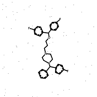 Fc1ccc(C(OCCCN2CCN(C(c3ccccc3)c3ccc(F)cc3)CC2)c2ccc(F)cc2)cc1